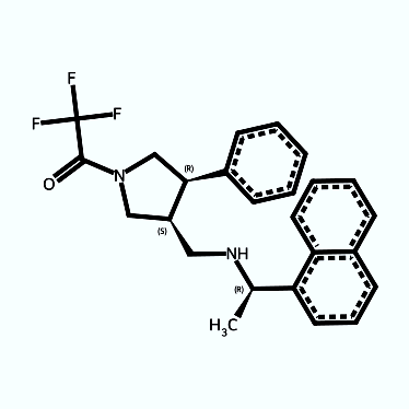 C[C@@H](NC[C@H]1CN(C(=O)C(F)(F)F)C[C@H]1c1ccccc1)c1cccc2ccccc12